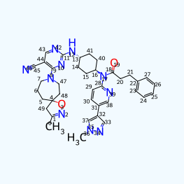 CC1=NOC2(CCCN(c3nc(N[C@H]4CC[C@H](N(C(=O)CCc5ccccc5)c5ccc(-c6cnn(C)c6)cn5)CC4)ncc3C#N)CC2)C1